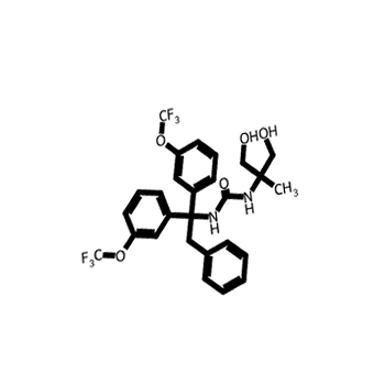 CC(CO)(CO)NC(=O)NC(Cc1ccccc1)(c1cccc(OC(F)(F)F)c1)c1cccc(OC(F)(F)F)c1